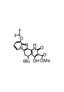 COC(=O)c1c(O)c2c([nH]c1=O)-c1nc3c(OC(F)F)cccn3c1CC2C(C)(C)C